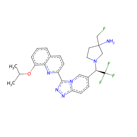 CC(C)Oc1cccc2ccc(-c3nnc4ccc([C@@H](N5CCC(N)(CF)C5)C(F)(F)F)cn34)nc12